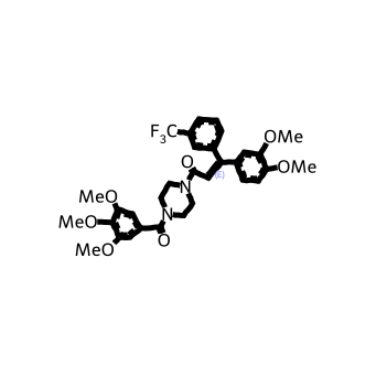 COc1ccc(/C(=C/C(=O)N2CCN(C(=O)c3cc(OC)c(OC)c(OC)c3)CC2)c2cccc(C(F)(F)F)c2)cc1OC